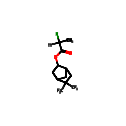 CCC(C)(F)C(=O)OC1CC2CC1CC2(C(F)(F)F)C(F)(F)F